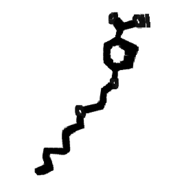 CCCCCCOCCOc1ccc(C(=O)O)cc1